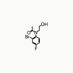 CC(=O)N(CCO)c1ccc(F)cc1Br